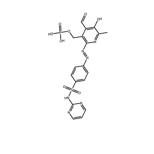 Cc1nc(N=Nc2ccc(S(=O)(=O)Nc3ncccn3)cc2)c(COP(=O)(O)O)c(C=O)c1O